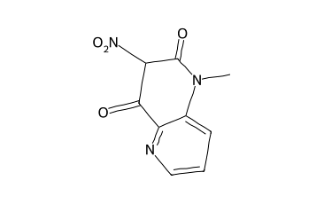 CN1C(=O)C([N+](=O)[O-])C(=O)c2ncccc21